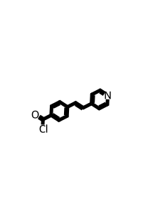 O=C(Cl)c1ccc(C=Cc2ccncc2)cc1